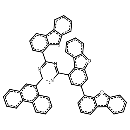 N/C(=N\C(=N/Cc1cc2ccccc2c2ccccc12)c1cccc2c1sc1ccccc12)c1cc(-c2cccc3c2oc2ccccc23)cc2oc3ccccc3c12